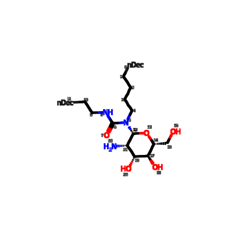 CCCCCCCCCCCCCCN(C(=O)NCCCCCCCCCCCC)[C@@H]1O[C@H](CO)[C@@H](O)[C@H](O)[C@@H]1N